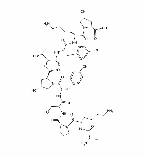 C[C@H](N)C(=O)N[C@@H](CCCCN)C(=O)N1CCC[C@H]1C(=O)N[C@@H](CO)C(=O)N[C@@H](Cc1ccc(O)cc1)C(=O)N1C[C@H](O)C[C@H]1C(=O)N[C@H](C(=O)N[C@@H](Cc1ccc(O)cc1)C(=O)N[C@@H](CCCCN)C(=O)N1C[C@H](O)C[C@H]1C(=O)O)[C@@H](C)O